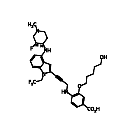 CN1CC[C@@H](Nc2cccc3c2cc(C#CCNc2ccc(C(=O)O)cc2OCCCCCO)n3CC(F)(F)F)[C@@H](F)C1